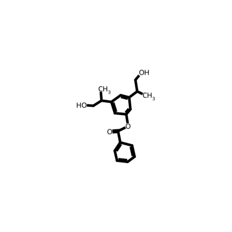 CC(CO)c1cc(OC(=O)c2ccccc2)cc(C(C)CO)c1